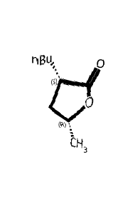 CCCC[C@H]1C[C@@H](C)OC1=O